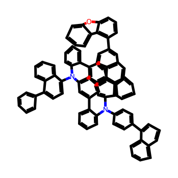 c1ccc(-c2ccc(-c3ccccc3N(c3cccc(-c4ccccc4N(c4ccc(-c5cccc6ccccc56)cc4)c4ccc5c(ccc6cc(-c7cccc8oc9ccccc9c78)ccc65)c4)c3)c3ccc(-c4ccccc4)c4ccccc34)cc2)cc1